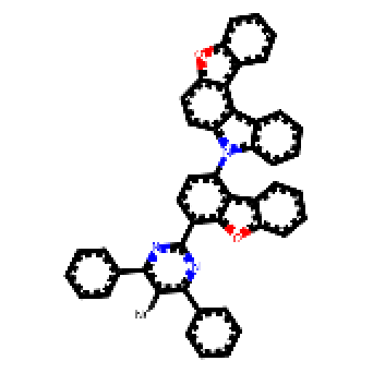 N#Cc1c(-c2ccccc2)nc(-c2ccc(-n3c4ccccc4c4c5c(ccc43)oc3ccccc35)c3c2oc2ccccc23)nc1-c1ccccc1